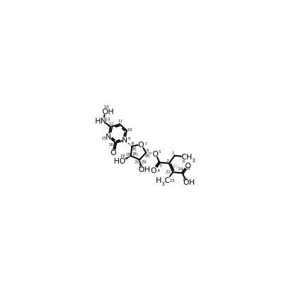 CC/C(C(=O)O[C@H]1O[C@@H](n2ccc(NO)nc2=O)[C@H](O)[C@@H]1O)=C(/C)C(=O)O